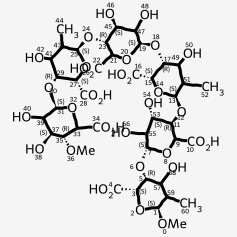 CO[C@H]1O[C@H](C(=O)O)[C@H](O[C@H]2OC(C(=O)O)[C@H](O[C@H]3O[C@H](C(=O)O)[C@H](O[C@H]4OC(C(=O)O)[C@H](O[C@H]5O[C@H](C(=O)O)[C@H](O[C@H]6OC(C(=O)O)[C@H](OC)[C@@H](O)C6O)C(O)C5C)[C@@H](O)C4O)C(O)C3C)[C@@H](O)C2O)C(O)C1C